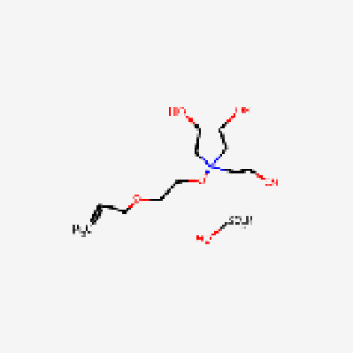 C=CCOCCO[N+](CCO)(CCO)CCO.O=S(=O)(O)O